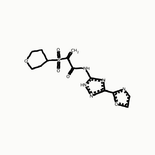 C=C(C(=O)Nc1nc(-c2ncco2)n[nH]1)S(=O)(=O)C1CCOCC1